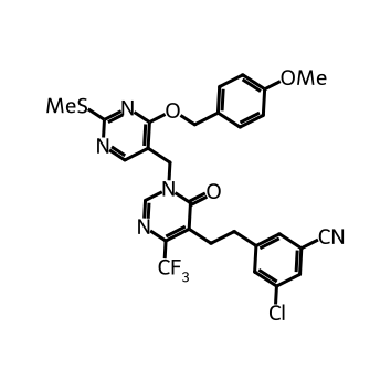 COc1ccc(COc2nc(SC)ncc2Cn2cnc(C(F)(F)F)c(CCc3cc(Cl)cc(C#N)c3)c2=O)cc1